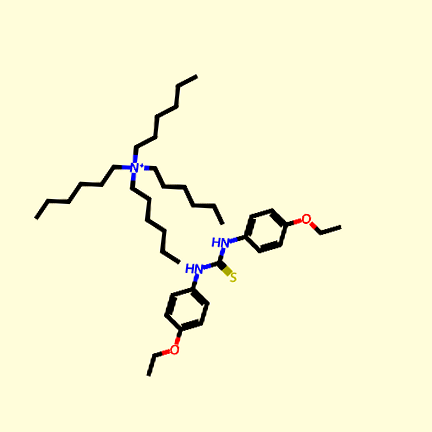 CCCCCC[N+](CCCCCC)(CCCCCC)CCCCCC.CCOc1ccc(NC(=S)Nc2ccc(OCC)cc2)cc1